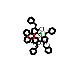 Cc1c(Cc2ccccc2)ccc(Cc2ccccc2)c1[Si](Cl)(c1c(Cc2ccccc2)ccc(Cc2ccccc2)c1C)c1c(Cc2ccccc2)ccc(Cc2ccccc2)c1C